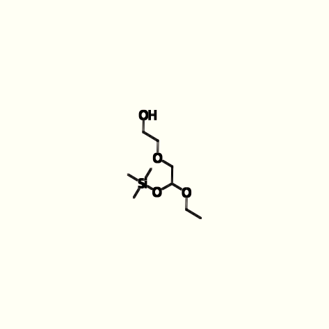 CCOC(COCCO)O[Si](C)(C)C